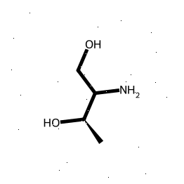 C[C@@H](O)C(N)CO